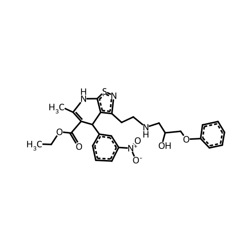 CCOC(=O)C1=C(C)Nc2snc(CCNCC(O)COc3ccccc3)c2C1c1cccc([N+](=O)[O-])c1